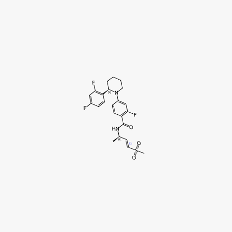 C[C@H](/C=C/S(C)(=O)=O)NC(=O)c1ccc(N2CCCC[C@@H]2c2ccc(F)cc2F)cc1F